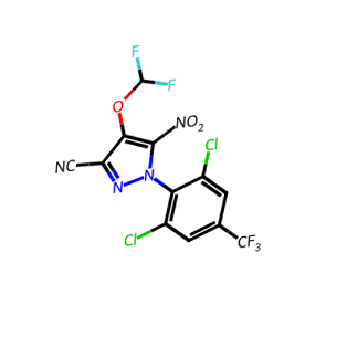 N#Cc1nn(-c2c(Cl)cc(C(F)(F)F)cc2Cl)c([N+](=O)[O-])c1OC(F)F